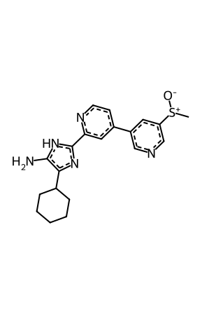 C[S+]([O-])c1cncc(-c2ccnc(-c3nc(C4CCCCC4)c(N)[nH]3)c2)c1